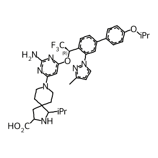 Cc1ccn(-c2cc(-c3ccc(OC(C)C)cc3)ccc2[C@@H](Oc2cc(N3CCC4(CC3)CC(C(=O)O)NC4C(C)C)nc(N)n2)C(F)(F)F)n1